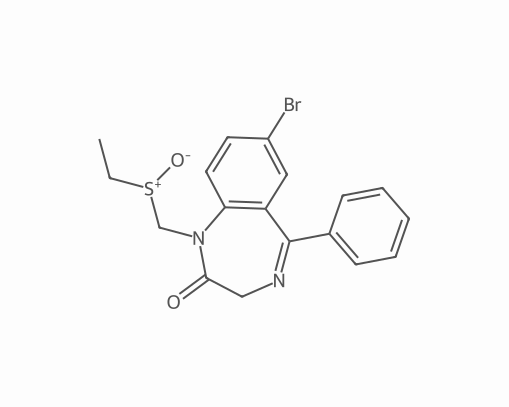 CC[S+]([O-])CN1C(=O)CN=C(c2ccccc2)c2cc(Br)ccc21